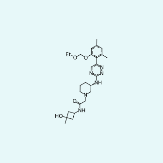 CCOCOc1cc(C)cc(C)c1-c1cnc(N[C@@H]2CCCN(CC(=O)NC3CC(C)(O)C3)C2)nn1